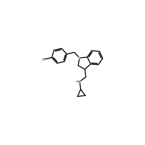 Clc1ccc(CN2CC(CNC3CC3)c3ccccc32)cc1